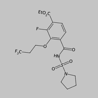 CCOC(=O)c1ccc(C(=O)NS(=O)(=O)N2CCCC2)c(OCCC(F)(F)F)c1F